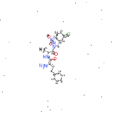 CC(NC(=O)C(N)CCc1ccccc1)C(=O)NCc1cc(Cl)ccc1[N+](=O)[O-]